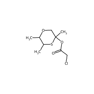 CC1OCC(C)(OC(=O)CCl)SC1C